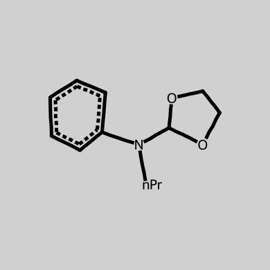 CCCN(c1ccccc1)C1OCCO1